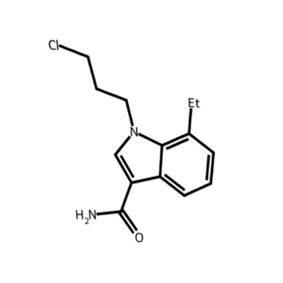 CCc1cccc2c(C(N)=O)cn(CCCCl)c12